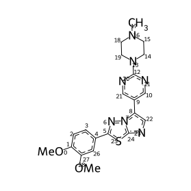 COc1ccc(-c2nn3c(-c4cnc(N5CCN(C)CC5)nc4)cnc3s2)cc1OC